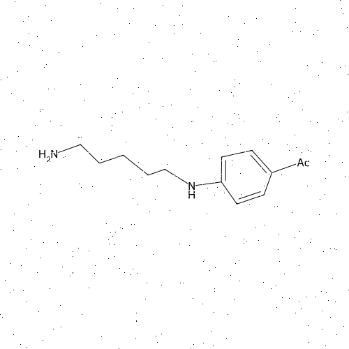 CC(=O)c1ccc(NCCCCCN)cc1